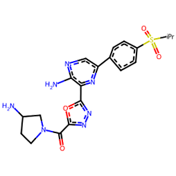 CC(C)S(=O)(=O)c1ccc(-c2cnc(N)c(-c3nnc(C(=O)N4CCC(N)C4)o3)n2)cc1